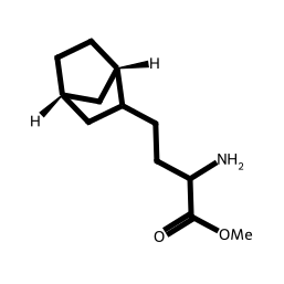 COC(=O)C(N)CCC1C[C@@H]2CC[C@H]1C2